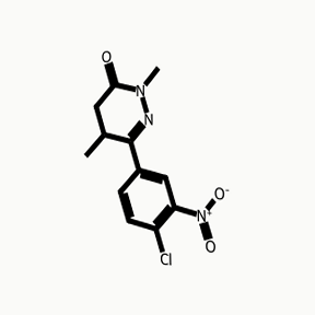 CC1CC(=O)N(C)N=C1c1ccc(Cl)c([N+](=O)[O-])c1